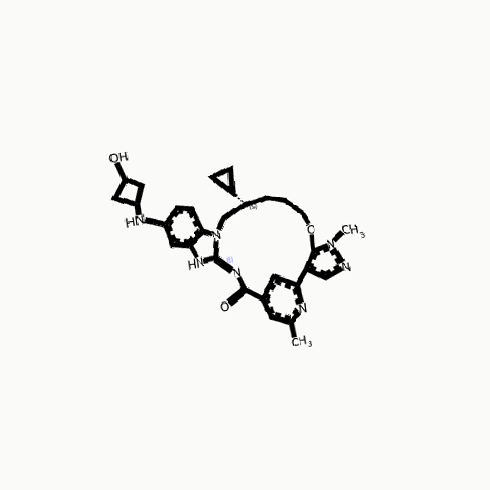 Cc1cc2cc(n1)-c1cnn(C)c1OCCC[C@@H](C1CC1)CN1/C(=N/C2=O)Nc2cc(NC3CC(O)C3)ccc21